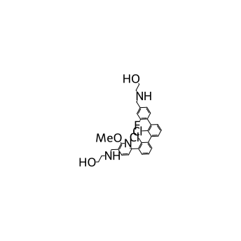 COc1nc(-c2cccc(-c3cccc(-c4ccc(CNCCO)cc4F)c3Cl)c2Cl)ccc1CNCCO